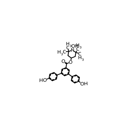 CC1(C)CC(OC(=O)c2cc(-c3ccc(O)cc3)cc(-c3ccc(O)cc3)c2)CC(C)(C)N1O